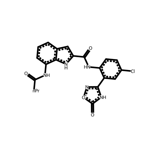 CCCC(=O)Nc1cccc2cc(C(=O)Nc3ccc(Cl)cc3-c3noc(=O)[nH]3)[nH]c12